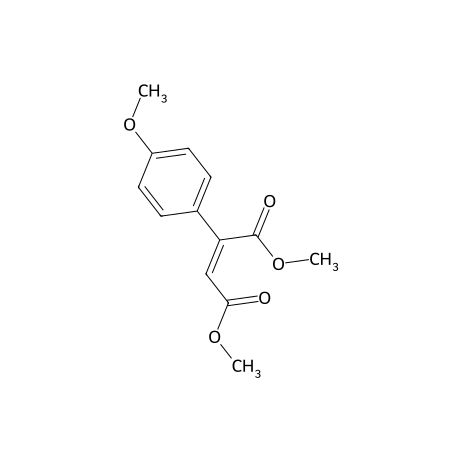 COC(=O)/C=C(\C(=O)OC)c1ccc(OC)cc1